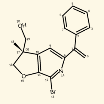 C=C(c1ccccc1)c1cc2c(c(Br)n1)OC[C@]2(C)CO